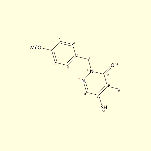 COc1ccc(Cn2ncc(S)c(C)c2=O)cc1